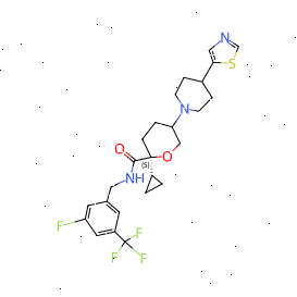 O=C(NCc1cc(F)cc(C(F)(F)F)c1)[C@@]1(C2CC2)CCC(N2CCC(c3cncs3)CC2)CO1